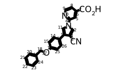 N#Cc1cn(-c2cc(C(=O)O)ccn2)cc1-c1ccc(OCc2ccccc2)cc1